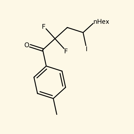 CCCCCCC(I)CC(F)(F)C(=O)c1ccc(C)cc1